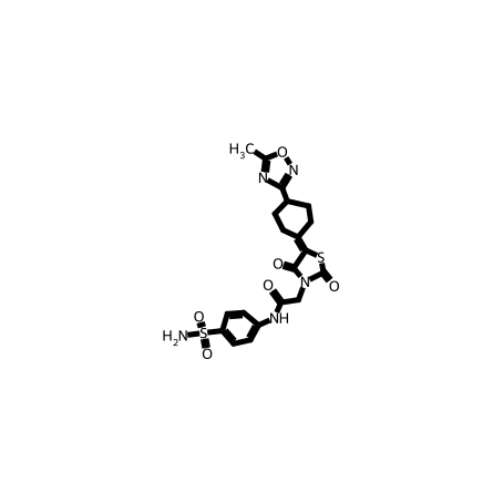 Cc1nc(C2CCC(=C3SC(=O)N(CC(=O)Nc4ccc(S(N)(=O)=O)cc4)C3=O)CC2)no1